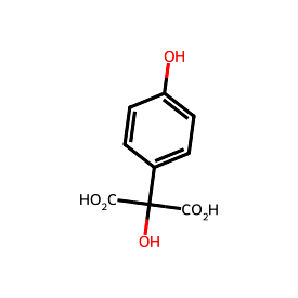 O=C(O)C(O)(C(=O)O)c1ccc(O)cc1